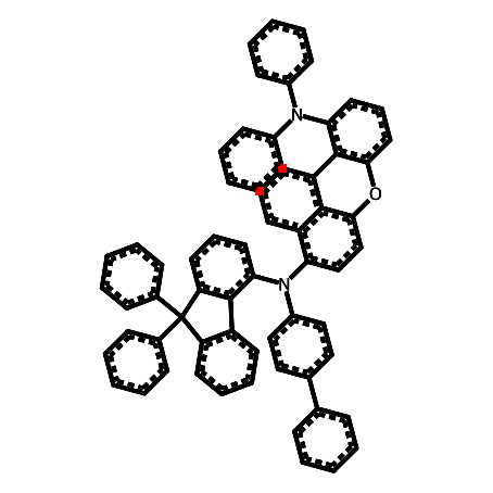 c1ccc(-c2ccc(N(c3cccc4c3-c3ccccc3C4(c3ccccc3)c3ccccc3)c3ccc4c5c(cccc35)-c3c(cccc3N(c3ccccc3)c3ccccc3)O4)cc2)cc1